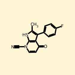 CC1=C(c2ccc(F)cc2)c2c(n(C#N)ccc2=O)[SH]1